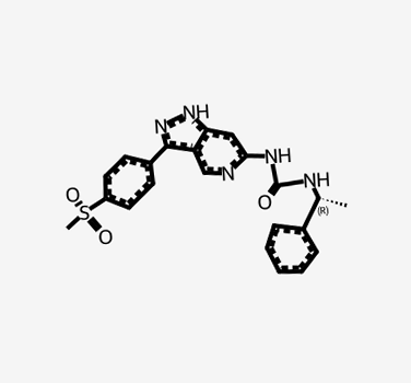 C[C@@H](NC(=O)Nc1cc2[nH]nc(-c3ccc(S(C)(=O)=O)cc3)c2cn1)c1ccccc1